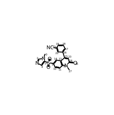 Cn1cncc1S(=O)(=O)c1ccc2c(c1)c(-c1cccc(C#N)c1)cc(=O)n2C